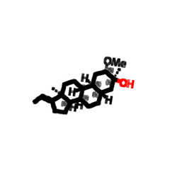 CC=C1CC[C@H]2[C@@H]3CC[C@H]4C[C@](C)(O)[C@@H](OC)C[C@@H]4[C@H]3CC[C@]12C